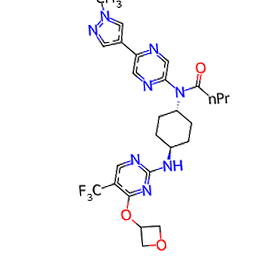 CCCC(=O)N(c1cnc(-c2cnn(C)c2)cn1)[C@H]1CC[C@H](Nc2ncc(C(F)(F)F)c(OC3COC3)n2)CC1